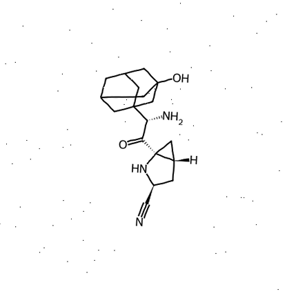 N#C[C@@H]1C[C@H]2C[C@]2(C(=O)[C@@H](N)C23CC4CC(CC(O)(C4)C2)C3)N1